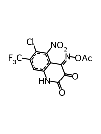 CC(=O)ON=C1C(=O)C(=O)Nc2cc(C(F)(F)F)c(Cl)c([N+](=O)[O-])c21